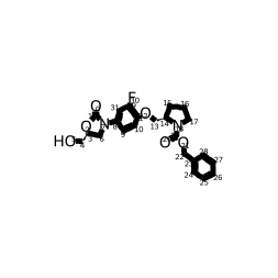 O=C1O[C@@H](CO)CN1c1ccc(OC[C@@H]2CCCN2C(=O)OCc2ccccc2)c(F)c1